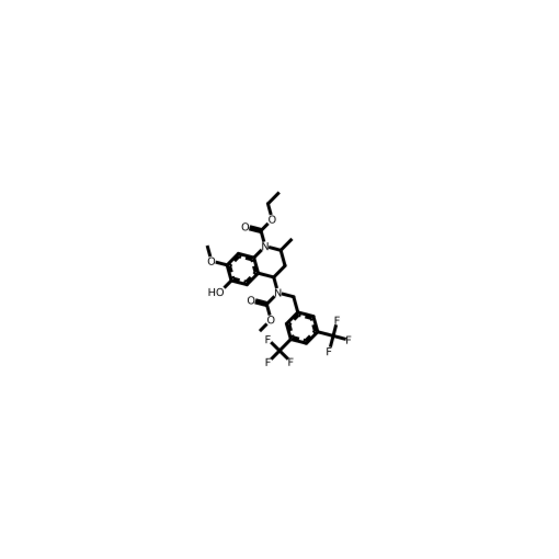 CCOC(=O)N1c2cc(OC)c(O)cc2C(N(Cc2cc(C(F)(F)F)cc(C(F)(F)F)c2)C(=O)OC)CC1C